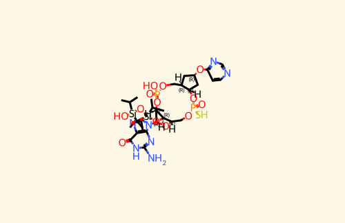 CC(C)[Si](O)(O[Si](O[C@H]1[C@H]2OP(=O)(O)OC[C@H]3C[C@@H](Oc4ccncn4)C[C@@H]3OP(=O)(S)OC[C@H]1O[C@H]2n1cnc2c(=O)[nH]c(N)nc21)(C(C)C)C(C)C)C(C)C